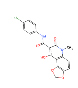 Cn1c(=O)c(C(=O)Nc2ccc(Cl)cc2)c(O)c2c3c(ccc21)OCO3